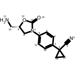 N#CC1(c2ccc(N3C[C@H](CN)OC3=O)cc2)CC1